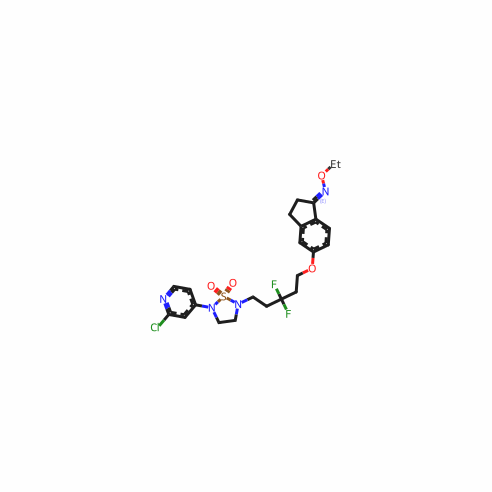 CCO/N=C1\CCc2cc(OCCC(F)(F)CCN3CCN(c4ccnc(Cl)c4)S3(=O)=O)ccc21